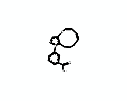 O=C(O)c1cccc(-n2ncc3c2CCC/C=C\C=C/C3)c1